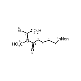 CCCCCCCCCCCCCC(=O)N(C(=O)O)C(CC)C(=O)O